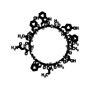 CCCC[C@H]1C(=O)N(C)CC(=O)N[C@@H](CC(=O)O)C(=O)N[C@@H](C(C)C)C(=O)N(C)[C@@H](Cc2ccccc2)C(=O)N[C@@H](Cc2ccc(O)cc2)C(=O)N(C)CC(=O)N[C@@H](Cc2c[nH]c3ccccc23)C(=O)N[C@@H](Cc2ccc(O)cc2)C(=O)N[C@@H](CC(C)C)C(=O)N[C@H](C(=O)NCC(N)=O)CSCC(=O)N(C)[C@@H](Cc2ccccc2)C(=O)N1C